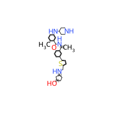 Cc1ccc(NC2CCNCC2)cc1C(=O)N[C@H](C)c1cccc(-c2ccc(CN[C@H]3CC[C@@H](O)C3)s2)c1